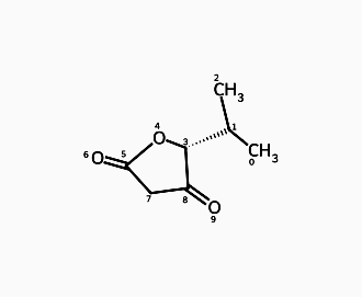 CC(C)[C@H]1OC(=O)CC1=O